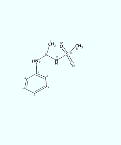 CC(Nc1ccccc1)NS(C)(=O)=O